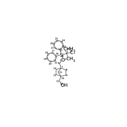 CC(C)(C)[Si](OCC12CCC(CO)(CC1)C2)(c1ccccc1)c1ccccc1